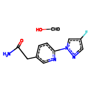 NC(=O)Cc1ccc(-n2cc(F)cn2)nc1.O=CO